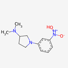 CN(C)C1CCN(c2cccc([NH+]([O-])O)c2)C1